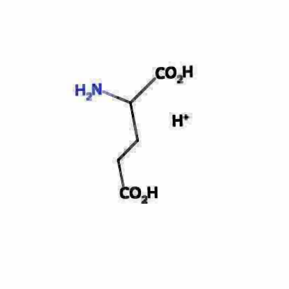 NC(CCC(=O)O)C(=O)O.[H+]